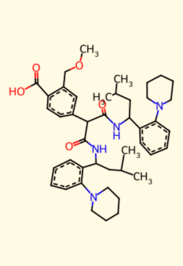 COCc1cc(C(C(=O)NC(CC(C)C)c2ccccc2N2CCCCC2)C(=O)NC(CC(C)C)c2ccccc2N2CCCCC2)ccc1C(=O)O